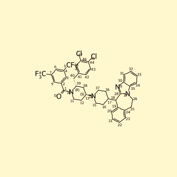 O=C(c1cc(C(F)(F)F)cc(C(F)(F)F)c1)N1CC[C@H](N2CCC(C3c4ccccc4CCn4c3nc3ccccc34)CC2)C[C@H]1Cc1ccc(Cl)c(Cl)c1